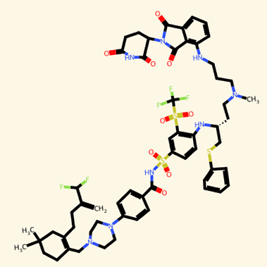 C=C(CCC1=C(CN2CCN(c3ccc(C(=O)NS(=O)(=O)c4ccc(N[C@H](CCN(C)CCCNc5cccc6c5C(=O)N(C5CCC(=O)NC5=O)C6=O)CSc5ccccc5)c(S(=O)(=O)C(F)(F)F)c4)cc3)CC2)CCC(C)(C)C1)C(F)F